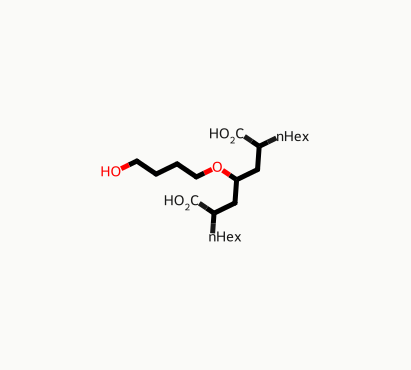 CCCCCCC(CC(CC(CCCCCC)C(=O)O)OCCCCO)C(=O)O